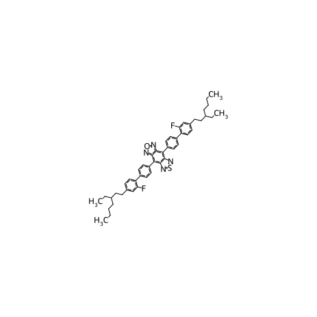 CCCCC(CC)CCc1ccc(-c2ccc(-c3c4c(c(-c5ccc(-c6ccc(CCC(CC)CCCC)cc6F)cc5)c5nonc35)N=S=N4)cc2)c(F)c1